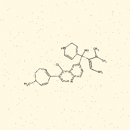 CC1C=CC(c2cnc3ccc(C(N=O)(C4=CCNC=C4)/C(=C/N)N(C)C)cc3c2Cl)=CCC1